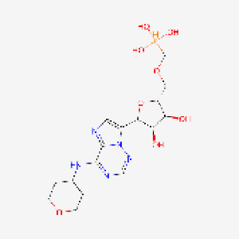 O[C@@H]1[C@@H](COC[PH](O)(O)O)OC(c2cnc3c(NC4CCOCC4)ncnn23)[C@@H]1O